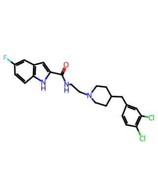 O=C(NCCN1CCC(Cc2ccc(Cl)c(Cl)c2)CC1)c1cc2cc(F)ccc2[nH]1